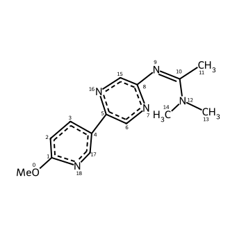 COc1ccc(-c2cnc(N=C(C)N(C)C)cn2)cn1